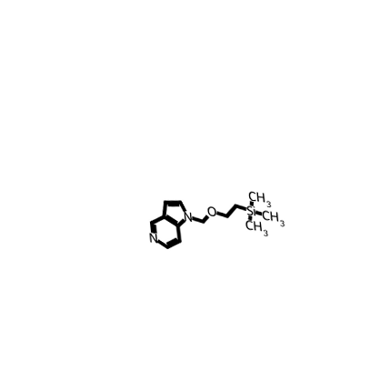 C[Si](C)(C)CCOCn1ccc2cnccc21